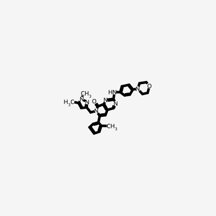 Cc1ccccc1-c1cc2cnc(Nc3ccc(N4CCOCC4)cc3)nc2c(=O)n1Cc1cc(C)n(C)n1